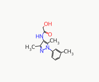 Cc1cccc(-n2nc(C)c(NC(=O)CO)c2C)c1